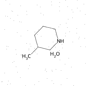 CC1CCCNC1.O